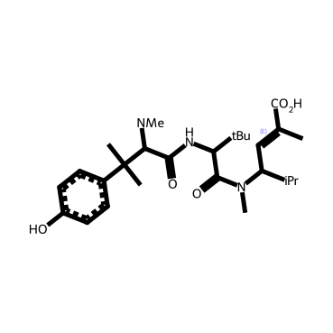 CNC(C(=O)NC(C(=O)N(C)C(/C=C(\C)C(=O)O)C(C)C)C(C)(C)C)C(C)(C)c1ccc(O)cc1